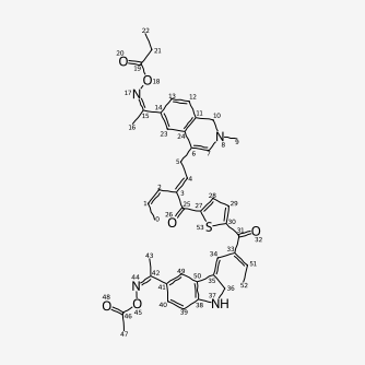 C/C=C\C(=C/CC1=CN(C)Cc2ccc(/C(C)=N\OC(=O)CC)cc21)C(=O)c1ccc(C(=O)C(/C=C2\CNc3ccc(/C(C)=N\OC(C)=O)cc32)=C/C)s1